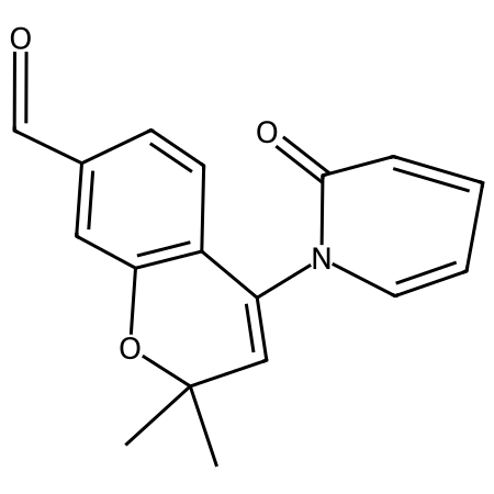 CC1(C)C=C(n2ccccc2=O)c2ccc(C=O)cc2O1